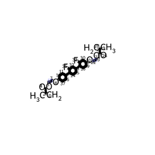 C=C(C)C(=O)O/C=C\Oc1ccc(-c2ccc(-c3ccc(O/C=C\OC(=O)C(=C)C)cc3F)cc2F)cc1